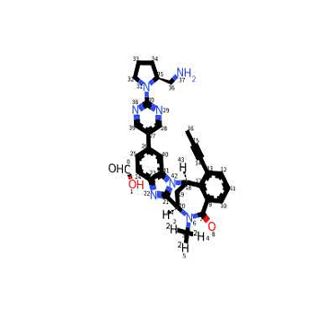 O=CO.[2H]C([2H])([2H])N1C(=O)c2cccc(C#CC)c2[C@H]2C[C@@H]1c1nc3ccc(-c4cnc(N5CCC[C@H]5CN)nc4)cc3n12